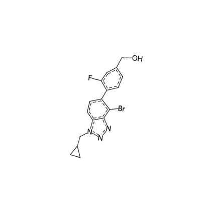 OCc1ccc(-c2ccc3c(nnn3CC3CC3)c2Br)c(F)c1